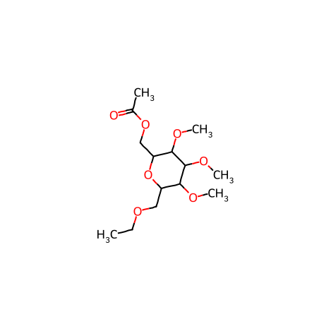 CCOCC1OC(COC(C)=O)C(OC)C(OC)C1OC